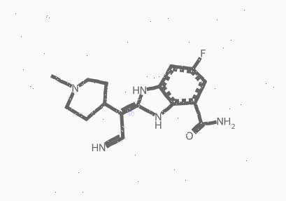 CN1CCC(/C(C=N)=C2\Nc3cc(F)cc(C(N)=O)c3N2)CC1